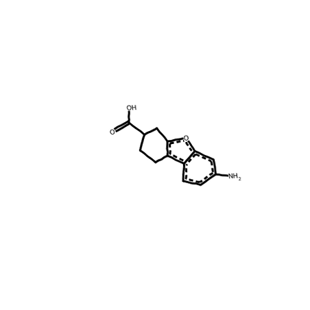 Nc1ccc2c3c(oc2c1)CC(C(=O)O)CC3